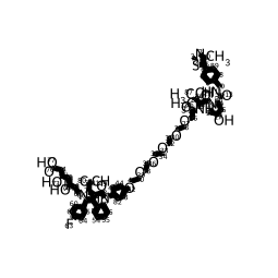 Cc1ncsc1-c1ccc(CNC(=O)[C@@H]2C[C@@H](O)CN2C(=O)[C@@H](NC(=O)COCCOCCOCCOCCOCCOc2ccc(NC(=O)c3c(-c4ccccc4)c(-c4ccc(F)cc4)n(CC[C@H](O)C[C@H](O)CC(=O)O)c3C(C)C)cc2)C(C)(C)C)cc1